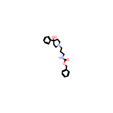 O=C(NCCCN1CCC(O)(c2ccccc2)CC1)OCc1ccccc1